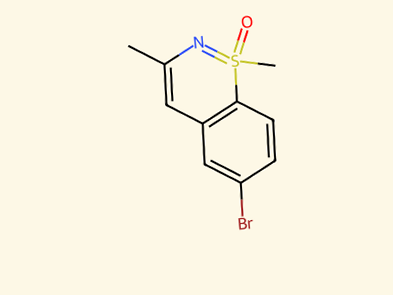 CC1=Cc2cc(Br)ccc2S(C)(=O)=N1